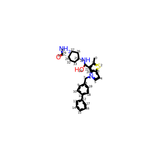 Cc1sc2ccn(Cc3ccc(-c4ccccc4)cc3)c2c1C(O)N[C@H]1CC[C@@H](C(N)=O)CC1